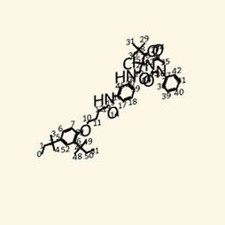 CCC(C)(C)c1ccc(OCCCC(=O)Nc2cccc(NC(=O)C(Cl)(C(=O)C(C)(C)C)N3C(=O)CN(c4ccccc4)C3=O)c2)c(C(C)(C)CC)c1